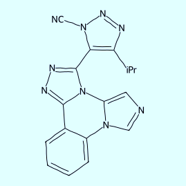 CC(C)c1nnn(C#N)c1-c1nnc2c3ccccc3n3cncc3n12